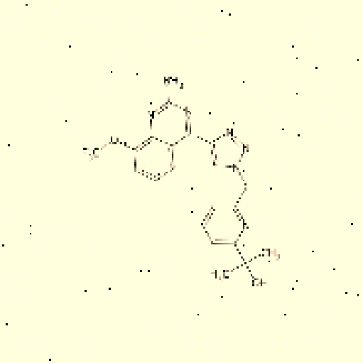 CC(C)(O)c1cccc(Cn2cc(-c3nc(N)nc4c(OC(F)(F)F)cccc34)nn2)n1